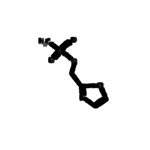 CS(=O)(=O)OCc1ncco1